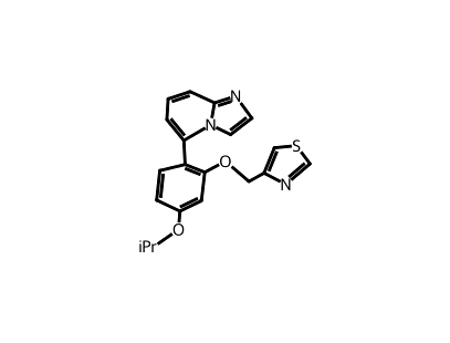 CC(C)Oc1ccc(-c2cccc3nccn23)c(OCc2cscn2)c1